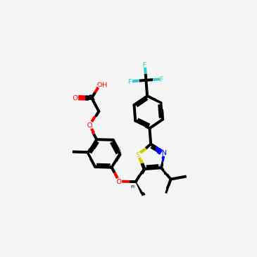 Cc1cc(O[C@H](C)c2sc(-c3ccc(C(F)(F)F)cc3)nc2C(C)C)ccc1OCC(=O)O